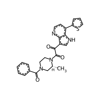 C[C@@H]1CN(C(=O)c2ccccc2)CCN1C(=O)C(=O)c1c[nH]c2c(-c3cccs3)ccnc12